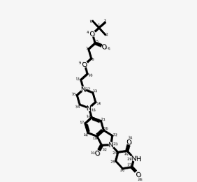 CC(C)(C)OC(=O)CCOCCN1CCN(c2ccc3c(c2)CN(C2CCC(=O)NC2=O)C3=O)CC1